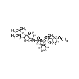 COc1ccc2oc(S(=O)(=O)NC(CC(=O)NC3CCOc4cc(CN(C)CC(C)C)ccc43)c3ccccc3)c(C)c2c1